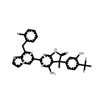 CC1(c2ccc(C(F)(F)F)c(O)c2)C(=O)Nc2nc(-c3cn4ccnc4c(Cc4ccccc4F)n3)nc(N)c21